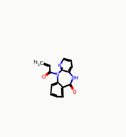 C=CC(=O)N1c2ccccc2C(=O)Nc2cccnc21